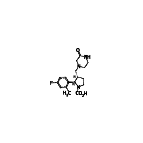 Cc1cc(F)ccc1[C@H]1[C@H](CN2CCNC(=O)C2)CCN1C(=O)O